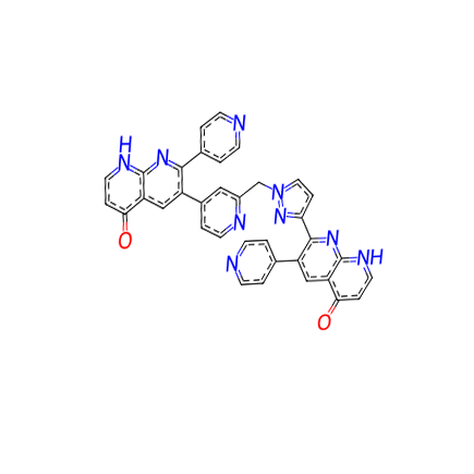 O=c1cc[nH]c2nc(-c3ccncc3)c(-c3ccnc(Cn4ccc(-c5nc6[nH]ccc(=O)c6cc5-c5ccncc5)n4)c3)cc12